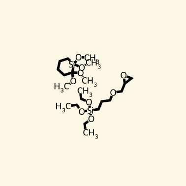 CCO[Si](CCCOCC1CO1)(OCC)OCC.COC1(OC)CCCC[Si]1(OC)OC